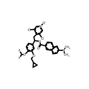 CN(C)c1ccc2cc(C(=O)OC(Cc3c(Cl)c[n+]([O-])cc3Cl)c3ccc(OC(F)F)c(OCC4CC4)c3)ccc2c1